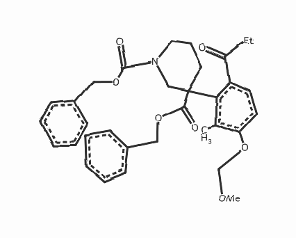 CCC(=O)c1ccc(OCOC)c(C)c1C1(C(=O)OCc2ccccc2)CCCN(C(=O)OCc2ccccc2)C1